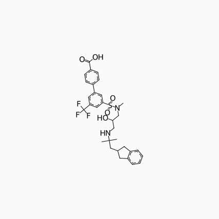 CN(CC(O)CNC(C)(C)CC1Cc2ccccc2C1)S(=O)(=O)c1cc(-c2ccc(C(=O)O)cc2)cc(C(F)(F)F)c1